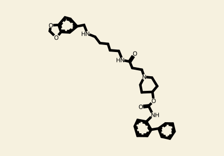 O=C(CCN1CCC(OC(=O)Nc2ccccc2-c2ccccc2)CC1)NCCCCCNCc1ccc2c(c1)OCO2